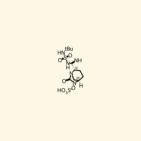 CC(C)(C)NS(=O)(=O)NC(=N)[C@@H]1CC[C@@H]2CN1C(=O)N2OS(=O)(=O)O